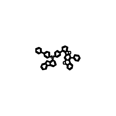 c1ccc(-c2ccc(N(c3ccc(-c4cccc5oc6c(-c7ccccc7)c7c(cc6c45)oc4ccccc47)cc3)c3cccc4c3Cc3ccccc3-4)cc2)cc1